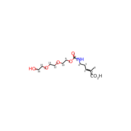 CC(=CCCNC(=O)OCCOCCOCCO)C(=O)O